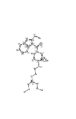 CCCN(CCC)CCCCc1ccc(C(=O)c2c(CC)cc3ccccn23)cc1.Cl